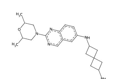 CC1CN(c2ncc3cc(NC4CC5(CC(N)C5)C4)ccc3n2)CC(C)O1